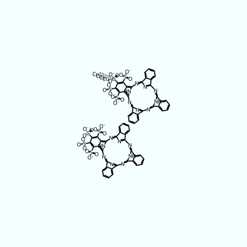 O=S(=O)([O-])c1c(S(=O)(=O)[O-])c(S(=O)(=O)[O-])c2c3nc4nc(nc5[nH]c(nc6nc(nc([nH]3)c2c1S(=O)(=O)[O-])-c1ccccc1-6)c1ccccc51)-c1ccccc1-4.O=S(=O)([O-])c1c(S(=O)(=O)[O-])c(S(=O)(=O)[O-])c2c3nc4nc(nc5[nH]c(nc6nc(nc([nH]3)c2c1S(=O)(=O)[O-])-c1ccccc1-6)c1ccccc51)-c1ccccc1-4.[Cu+2].[Cu+2].[Cu+2].[Cu+2]